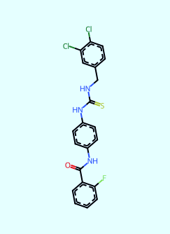 O=C(Nc1ccc(NC(=S)NCc2ccc(Cl)c(Cl)c2)cc1)c1ccccc1F